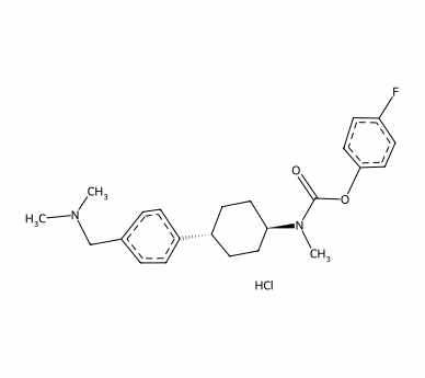 CN(C)Cc1ccc([C@H]2CC[C@H](N(C)C(=O)Oc3ccc(F)cc3)CC2)cc1.Cl